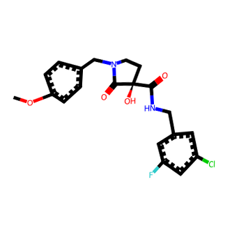 COc1ccc(CN2CC[C@](O)(C(=O)NCc3cc(F)cc(Cl)c3)C2=O)cc1